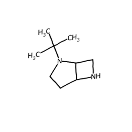 CC(C)(C)N1CCC2NCC21